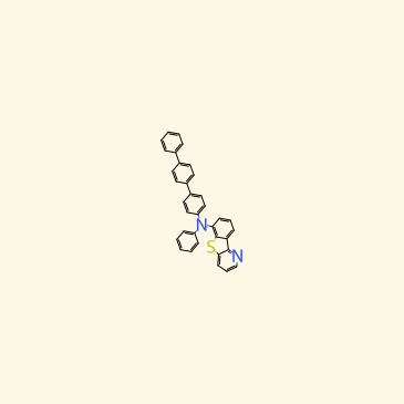 c1ccc(-c2ccc(-c3ccc(N(c4ccccc4)c4cccc5c4sc4cccnc45)cc3)cc2)cc1